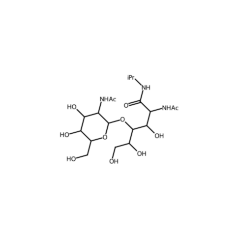 CC(=O)NC(C(=O)NC(C)C)C(O)C(OC1OC(CO)C(O)C(O)C1NC(C)=O)C(O)CO